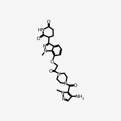 Cn1ncc(N)c1C(=O)N1CCN(C(=O)COc2cccc3c(C4CCC(=O)NC4=O)nn(C)c23)CC1